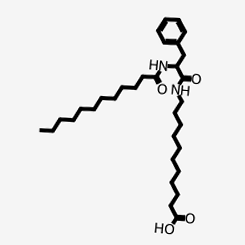 CCCCCCCCCCCC(=O)NC(Cc1ccccc1)C(=O)NCCCCCCCCCCC(=O)O